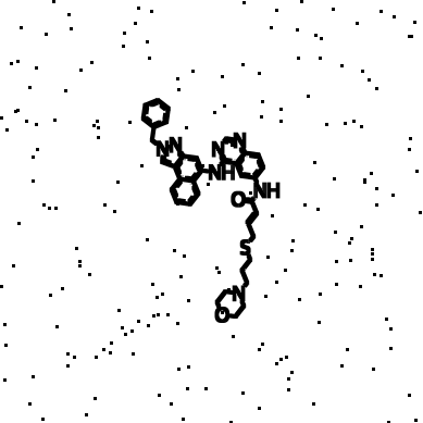 O=C(C=CCSCCCN1CCOCC1)Nc1ccc2ncnc(Nc3cc4nn(Cc5ccccc5)cc4c4ccccc34)c2c1